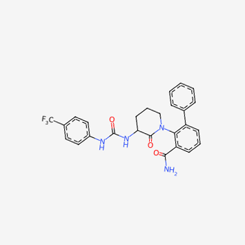 NC(=O)c1cccc(-c2ccccc2)c1N1CCCC(NC(=O)Nc2ccc(C(F)(F)F)cc2)C1=O